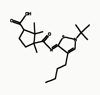 CCCCc1cn(C(C)(C)C)sc1=NC(=O)C1(C)CCC(C(=O)O)C1(C)C